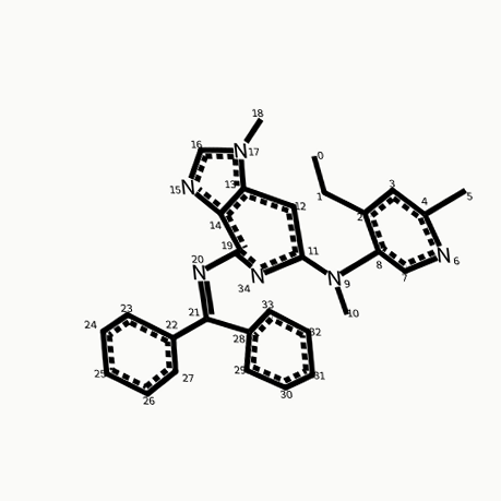 CCc1cc(C)ncc1N(C)c1cc2c(ncn2C)c(N=C(c2ccccc2)c2ccccc2)n1